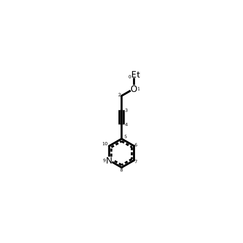 [CH2]COCC#Cc1cccnc1